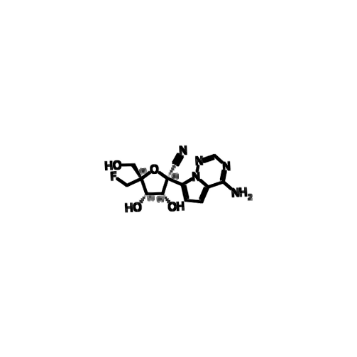 N#C[C@@]1(c2ccc3c(N)ncnn23)O[C@@](CO)(CF)[C@@H](O)[C@H]1O